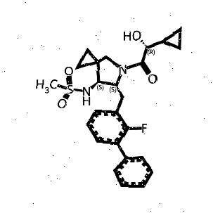 CS(=O)(=O)N[C@@H]1[C@H](Cc2cccc(-c3ccccc3)c2F)N(C(=O)[C@H](O)C2CC2)CC12CC2